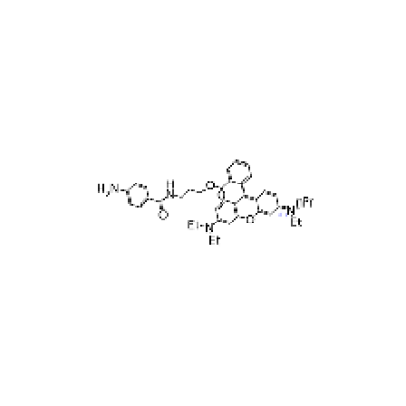 CCC/[N+](CC)=c1\ccc2c(-c3ccccc3C(=O)OCCCNC(=O)c3ccc(N)cc3)c3ccc(N(CC)CC)cc3oc-2c1